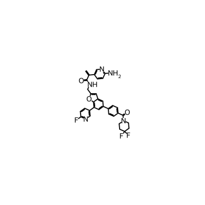 C=C(C(=O)NCc1cc2cc(-c3ccc(C(=O)N4CCC(F)(F)CC4)cc3)cc(-c3ccc(F)nc3)c2o1)c1ccc(N)nc1